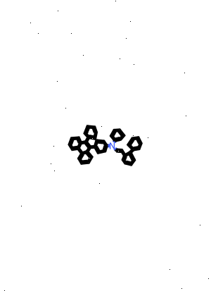 C(=C\N(c1ccccc1)c1ccc(-c2c(-c3ccccc3)c3ccccc3c3ccccc23)cc1)/c1ccccc1-c1ccccc1